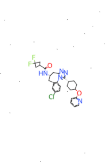 O=C(N[C@H]1Cc2cc(Cl)ccc2-n2c(nnc2[C@H]2CC[C@H](Oc3ccccn3)CC2)C1)C1CC(F)(F)C1